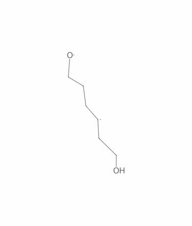 [O]CCC[CH]CCO